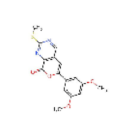 COc1cc(OC)cc(-c2cc3cnc(SC)nc3c(=O)o2)c1